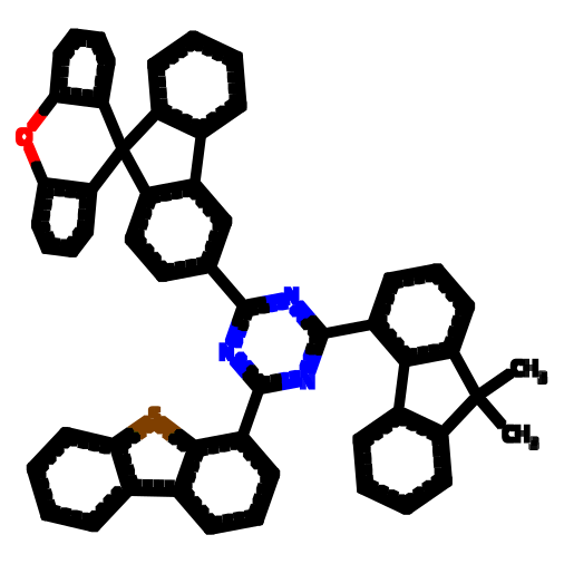 CC1(C)c2ccccc2-c2c(-c3nc(-c4ccc5c(c4)-c4ccccc4C54c5ccccc5Oc5ccccc54)nc(-c4cccc5c4sc4ccccc45)n3)cccc21